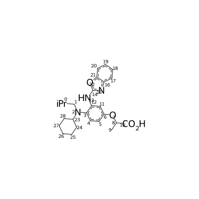 CC(C)CN(c1ccc(OC(C)C(=O)O)cc1Nc1nc2ccccc2o1)C1CCCCC1